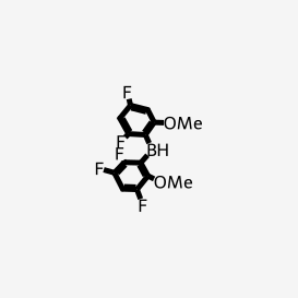 COc1cc(F)cc(F)c1Bc1c(F)c(F)cc(F)c1OC